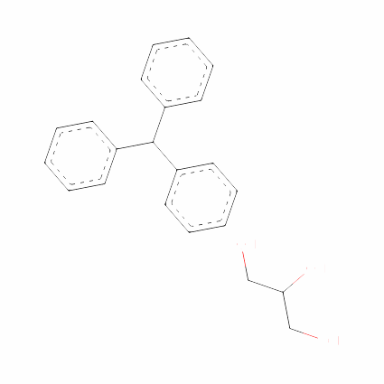 OCC(O)CO.c1ccc(C(c2ccccc2)c2ccccc2)cc1